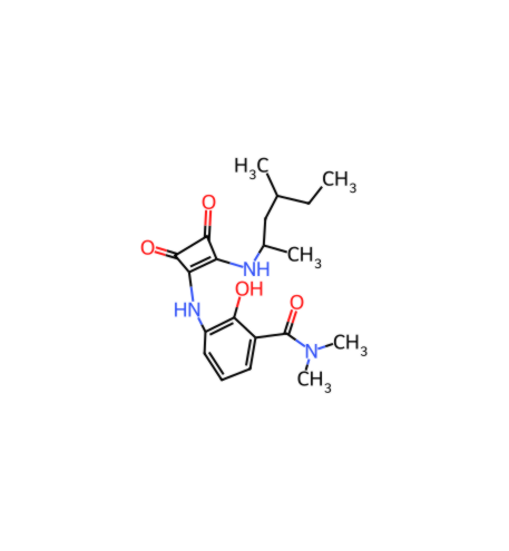 CCC(C)CC(C)Nc1c(Nc2cccc(C(=O)N(C)C)c2O)c(=O)c1=O